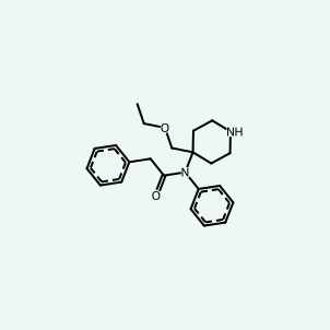 CCOCC1(N(C(=O)Cc2ccccc2)c2ccccc2)CCNCC1